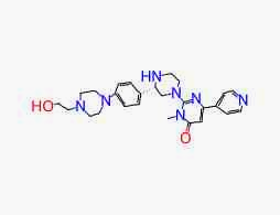 Cn1c(N2CCN[C@@H](c3ccc(N4CCN(CCO)CC4)cc3)C2)nc(-c2ccncc2)cc1=O